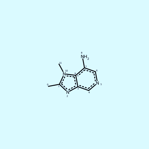 Cc1nc2cncc(N)c2n1C